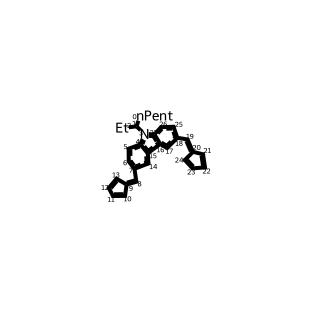 CCCCCC(CC)n1c2ccc(C=C3C=CC=C3)cc2c2cc(C=C3C=CC=C3)ccc21